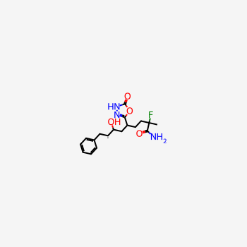 CC(F)(CCC(CC(O)[CH]Cc1ccccc1)c1n[nH]c(=O)o1)C(N)=O